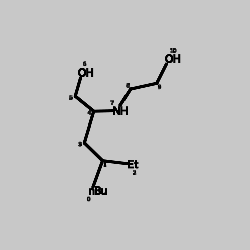 CCCCC(CC)CC(CO)NCCO